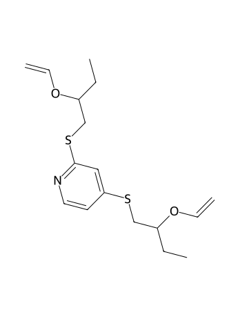 C=COC(CC)CSc1ccnc(SCC(CC)OC=C)c1